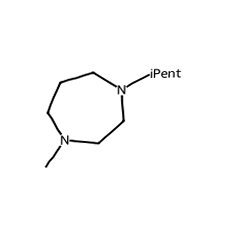 CCCC(C)N1CCCN(C)CC1